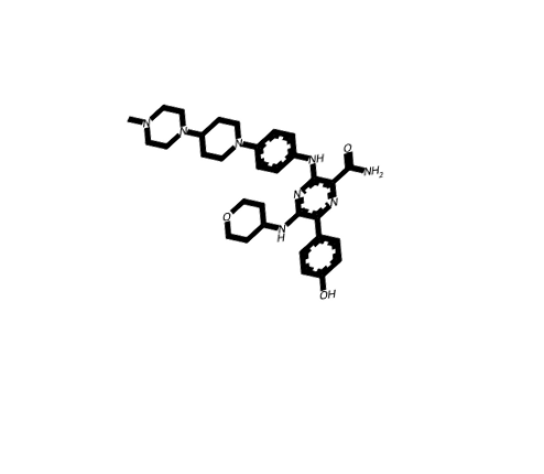 CN1CCN(C2CCN(c3ccc(Nc4nc(NC5CCOCC5)c(-c5ccc(O)cc5)nc4C(N)=O)cc3)CC2)CC1